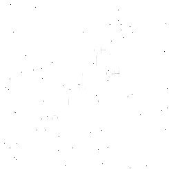 CC(O)COCC[O]